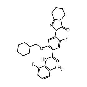 Cc1cccc(F)c1NC(=O)c1cc(F)c(-n2nc3n(c2=O)CCCC3)cc1OCC1CCCCC1